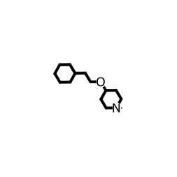 C1CCC(CCOC2CC[N]CC2)CC1